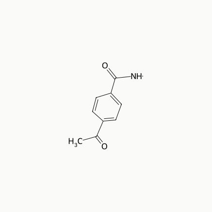 CC(=O)c1ccc(C([NH])=O)cc1